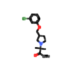 COC(=O)C(C)(C)N1CCC(COc2cccc(Cl)c2)C1